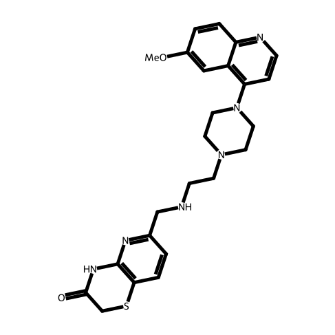 COc1ccc2nccc(N3CCN(CCNCc4ccc5c(n4)NC(=O)CS5)CC3)c2c1